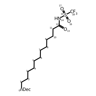 CCCCCCCCCCCCCCCCCCCCCC(=O)NS(=O)(=O)C(F)(F)F